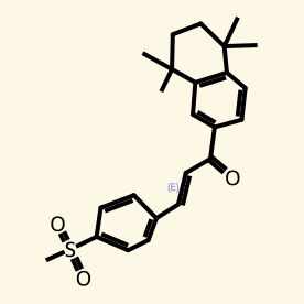 CC1(C)CCC(C)(C)c2cc(C(=O)/C=C/c3ccc(S(C)(=O)=O)cc3)ccc21